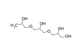 CC(O)COCC(O)COCC(O)CO